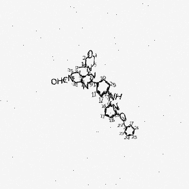 C[C@H]1COCCN1c1nc(-c2ccc(Nc3cccc(OCc4ccccc4)n3)cc2)nc2c1CCN(C=O)C2